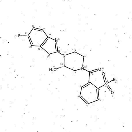 CCS(=O)(=O)c1ccccc1C(=O)N1CCN(c2nc3ccc(F)cc3s2)[C@@H](C)C1